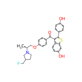 C[C@@H](COc1ccc(C(=O)c2c(-c3ccc(O)cc3)sc3cc(O)ccc23)cc1)N1CCC(CF)C1